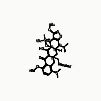 CCCCOc1ccc(N(C)C)c2c1C(=O)C1=C(O)[C@]3(O[Si](C)(C)C(C)(C)C)C(=O)c4c(OCCCC)noc4[C@@H](N(C)C)[C@@H]3C[C@]1(CN=[N+]=[N-])C2